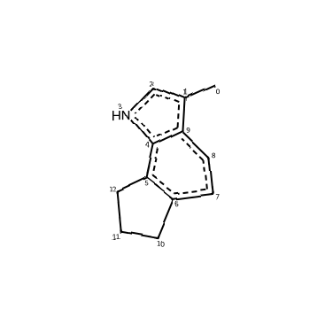 Cc1c[nH]c2c3c(ccc12)CCC3